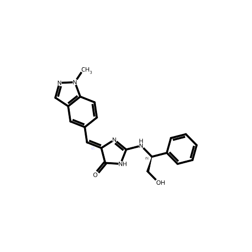 Cn1ncc2cc(/C=C3\N=C(N[C@H](CO)c4ccccc4)NC3=O)ccc21